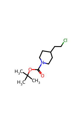 CC(C)(C)OC(=O)N1CCC(CCCl)CC1